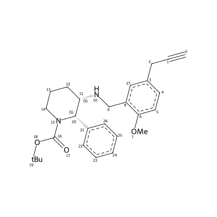 C#CCc1ccc(OC)c(CN[C@H]2CCCN(C(=O)OC(C)(C)C)[C@H]2c2ccccc2)c1